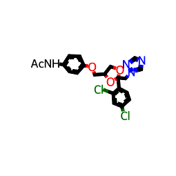 CC(=O)Nc1ccc(OCC2COC(Cn3cncn3)(c3ccc(Cl)cc3Cl)O2)cc1